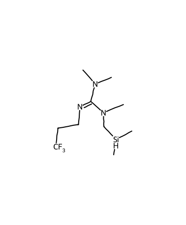 CN(C)C(=NCCC(F)(F)F)N(C)C[SiH](C)C